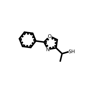 CC(S)c1coc(-c2ccccc2)n1